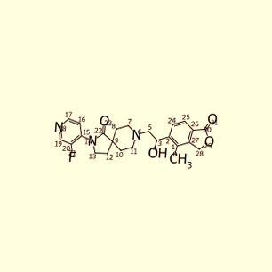 Cc1c(C(O)CN2CCC3(CC2)CCN(c2ccncc2F)C3=O)ccc2c1COC2=O